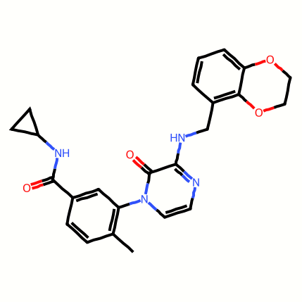 Cc1ccc(C(=O)NC2CC2)cc1-n1ccnc(NCc2cccc3c2OCCO3)c1=O